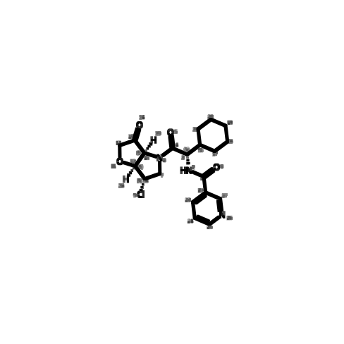 O=C(N[C@H](C(=O)N1C[C@H](Cl)[C@H]2OCC(=O)[C@H]21)C1CCCCC1)c1cccnc1